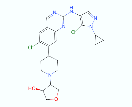 O[C@@H]1COCC1N1CCC(c2cc3nc(Nc4cnn(C5CC5)c4Cl)ncc3cc2Cl)CC1